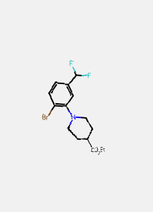 CCOC(=O)C1CCN(c2cc(C(F)F)ccc2Br)CC1